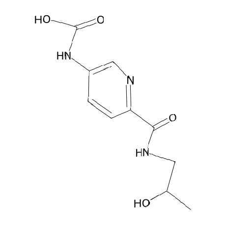 CC(O)CNC(=O)c1ccc(NC(=O)O)cn1